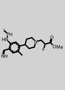 COC(=O)C(F)CN1CCC(c2cc(NPI)c(C=N)cc2C)CC1